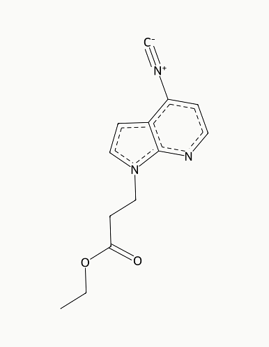 [C-]#[N+]c1ccnc2c1ccn2CCC(=O)OCC